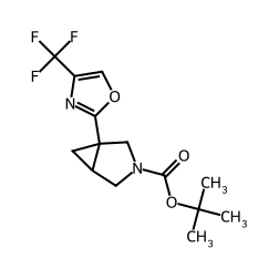 CC(C)(C)OC(=O)N1CC2CC2(c2nc(C(F)(F)F)co2)C1